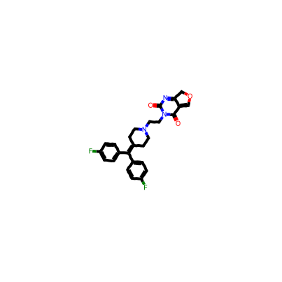 O=C1N=C2COC=C2C(=O)N1CCN1CCC(=C(c2ccc(F)cc2)c2ccc(F)cc2)CC1